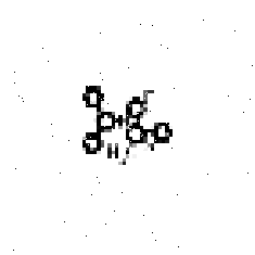 CC1Cc2c(c3cc(F)ccc3n2-c2cc(-c3ccccc3)cc(-c3ccccc3)c2)-c2c1sc1ccccc21